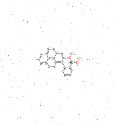 CCO[SiH](OCC)c1ccccc1-c1ccc2ccc3cccc4ccc1c2c34